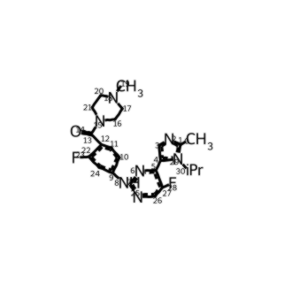 Cc1ncc(-c2nc(Nc3ccc(C(=O)N4CCN(C)CC4)c(F)c3)ncc2F)n1C(C)C